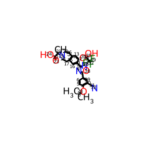 CC(C)Oc1ccc(-c2nc(-c3ccc4c(c3)CCN(C(C)C(=O)O)CC4)no2)cc1C#N.O=C(O)C(F)(F)F